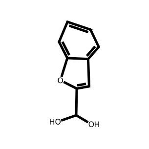 OC(O)c1cc2c[c]ccc2o1